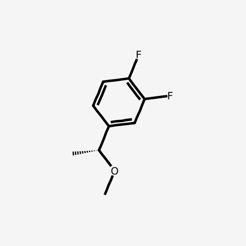 CO[C@H](C)c1ccc(F)c(F)c1